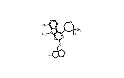 Cn1c2nc(OC[C@@]34CCCN3C[C@H](F)C4)nc(N3CCOCC(C)(O)C3)c2c2ccnc(Cl)c21